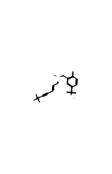 Cc1ccc(C(C)(C)O)cc1CN(C)CC=CC#CC(C)(C)C